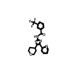 O=C(Nc1nc(-c2ccccn2)c(C2CCOCC2)s1)c1cccc(C(F)(F)F)c1